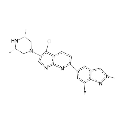 C[C@@H]1CN(c2cnc3nc(-c4cc(F)c5nn(C)cc5c4)ccc3c2Cl)C[C@H](C)N1